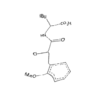 CCC(C)C(NC(=O)C(Cl)c1ccccc1OC)C(=O)O